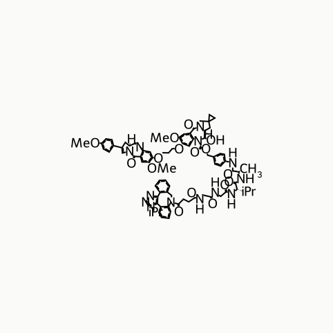 COc1ccc(C2=CN3C(=O)c4cc(OC)c(OCCCOc5cc6c(cc5OC)C(=O)N5CC7(CC7)C[C@H]5C(O)N6C(=O)OCc5ccc(NC(=O)[C@H](C)NC(=O)[C@@H](NC(=O)CNC(=O)CNC(=O)CCC(=O)N6Cc7ccccc7-c7nnn(C(C)C)c7-c7ccccc76)C(C)C)cc5)cc4N=C[C@@H]3C2)cc1